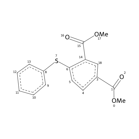 COC(=O)c1ccc(Sc2ccccc2)c(C(=O)OC)c1